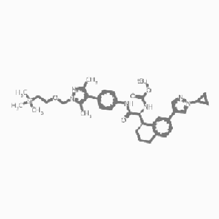 Cc1nn(COCC[Si](C)(C)C)c(C)c1-c1ccc(NC(=O)[C@@H](NC(=O)OC(C)(C)C)[C@@H]2CCCc3ccc(-c4cnn(C5CC5)c4)cc32)cc1